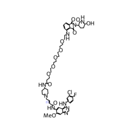 COc1cc2ncnc(Nc3ccc(F)c(Cl)c3)c2cc1NC(=O)/C=C/CN1CCC(NC(=O)CCOCCOCCOCCOCCOCCNc2cccc3c2C(=O)N(C2CCC(O)NC2=O)C3=O)CC1